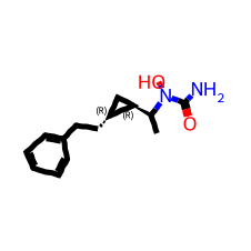 CC([C@@H]1C[C@H]1CCc1ccccc1)N(O)C(N)=O